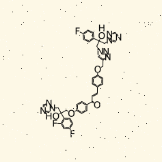 O=C(/C=C/c1ccc(OCc2cn(CC(O)(Cn3cncn3)c3ccc(F)cc3)nn2)cc1)c1ccc(OCC(O)(Cn2cncn2)c2ccc(F)cc2F)cc1